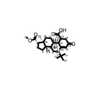 COC(=O)[C@H]1CC[C@H]2[C@@H]3CN(C(C)(C)C)C4=CC(=O)CC(C(=O)O)[C@]4(C)[C@H]3CC[C@]12C